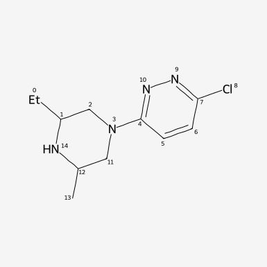 CCC1CN(c2ccc(Cl)nn2)CC(C)N1